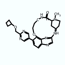 CN1CC[C@H]2C[C@H]1C(=O)NCCCOc1c(-c3cnc(COC4CCC4)nc3)ccc3ncc(nc13)N2